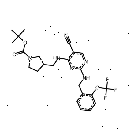 CC(C)(C)OC(=O)N1CCC(CNc2nc(NCc3ccccc3OC(F)(F)F)ncc2C#N)C1